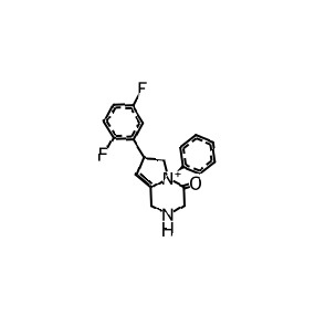 O=C1CNCC2=CC(c3cc(F)ccc3F)C[N@+]12c1ccccc1